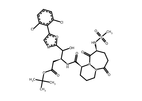 CC(C)(C)OC(=O)C[C@H](NC(=O)[C@@H]1CCCN2C(=O)CC[C@H](NS(C)(=O)=O)C(=O)N12)C(O)c1ncc(-c2c(Cl)cccc2Cl)o1